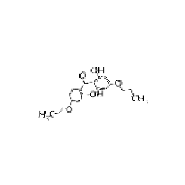 CCCOc1ccc(C(=O)c2ccc(OCCC)cc2O)c(O)c1